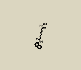 O=C(CCCCCCC(=O)Nc1cccc2ccccc12)NO